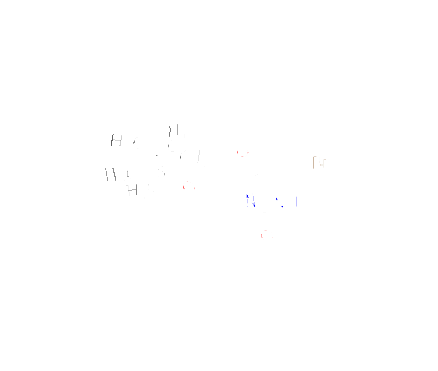 CC(C)(C)[Si](C)(C)OCCN1C(=O)NC(CBr)C1=O